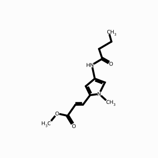 CCCC(=O)Nc1cc(C=CC(=O)OC)n(C)c1